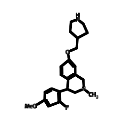 COc1ccc(C2CN(C)Cc3cc(OCC4CCNCC4)ccc32)c(F)c1